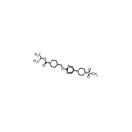 CC(C)OC(=O)N1CCC(COc2ncc(N3CCN(S(C)(=O)=O)CC3)cn2)CC1